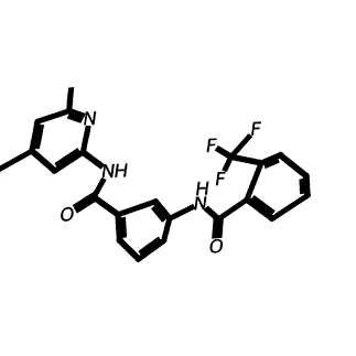 Cc1cc(C)nc(NC(=O)c2cccc(NC(=O)c3ccccc3C(F)(F)F)c2)c1